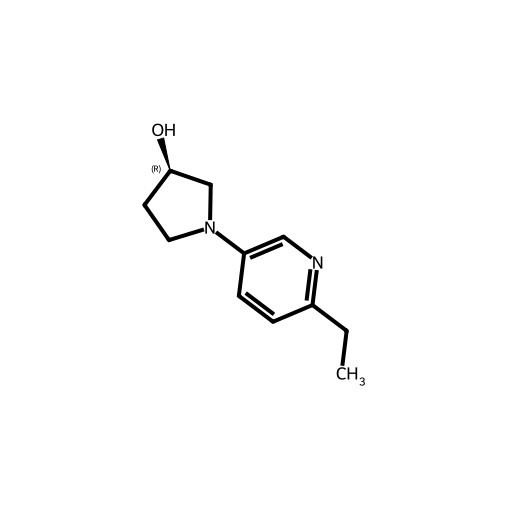 CCc1ccc(N2CC[C@@H](O)C2)cn1